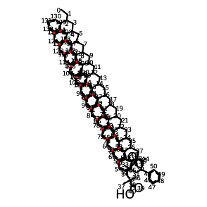 CCC(CC(CC(CC(CC(CC(CC(CC(CC(CC(CC(CC(CC(CC(CC(CC(C)(CC(C)(C)C(=O)O)C(=O)OC)c1ccccc1)c1ccccc1)c1ccccc1)c1ccccc1)c1ccccc1)c1ccccc1)c1ccccc1)c1ccccc1)c1ccccc1)c1ccccc1)c1ccccc1)c1ccccc1)c1ccccc1)c1ccccc1)c1ccccc1